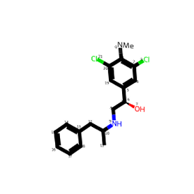 CNc1c(Cl)cc([C@@H](O)CNC(C)Cc2ccccc2)cc1Cl